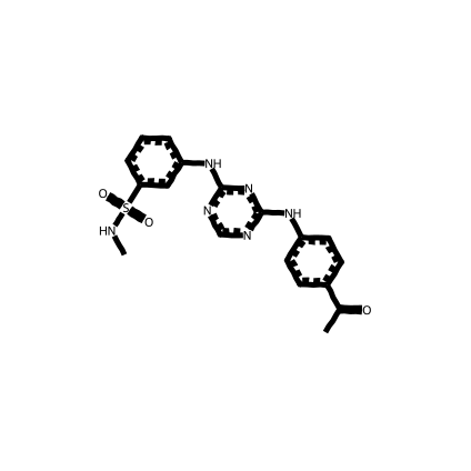 CNS(=O)(=O)c1cccc(Nc2ncnc(Nc3ccc(C(C)=O)cc3)n2)c1